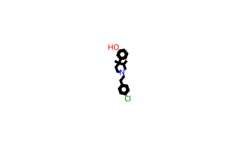 CC1CN(CCc2ccc(Cl)cc2)CCC1(C)c1cccc(O)c1